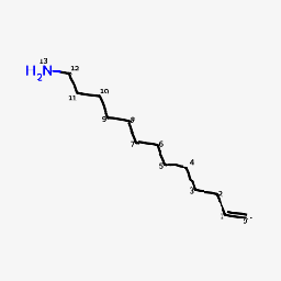 [CH]=CCCCCCCCCCCCN